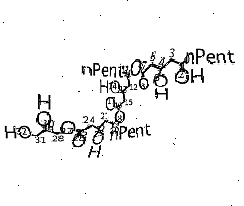 CCCCC[C@@H](O)C[C@@H](O)CC(=O)O[C@H](CCCCC)C[C@@H](O)CC(=O)O[C@H](CCCCC)C[C@@H](O)CC(=O)OCC(O)CO